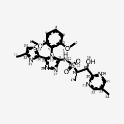 COc1cccc(OC)c1-n1c(NS(=O)(=O)[C@H](C)[C@@H](O)c2ncc(C)cn2)nnc1-c1nc(C)cs1